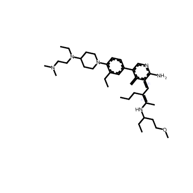 C=c1c(-c2ccc(N3CCC(N(CC)CCN(C)C)CC3)c(CC)c2)cnc(N)/c1=C/C(CCC)=C(\C)NC(CC)CCOC